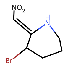 O=[N+]([O-])/C=C1\NCCCC1Br